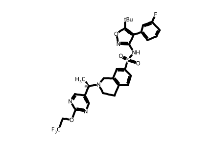 C[C@H](c1cnc(OCC(F)(F)F)nc1)N1CCc2ccc(S(=O)(=O)Nc3noc(C(C)(C)C)c3-c3cccc(F)c3)cc2C1